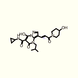 CC(C)Cn1c(=O)c(C(=O)NC2CC2)c(O)n2ncc(/C=C/C(=O)N3CCC(O)CC3)c12